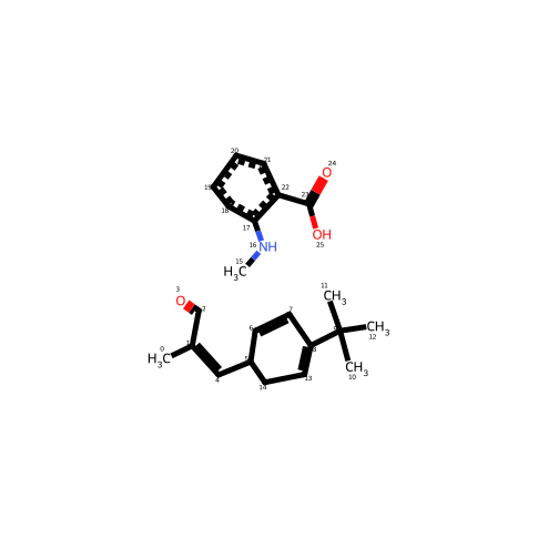 CC(C=O)=CC1C=CC(C(C)(C)C)=CC1.CNc1ccccc1C(=O)O